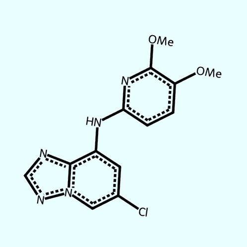 COc1ccc(Nc2cc(Cl)cn3ncnc23)nc1OC